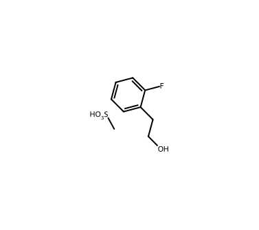 CS(=O)(=O)O.OCCc1ccccc1F